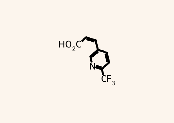 O=C(O)/C=C\c1ccc(C(F)(F)F)nc1